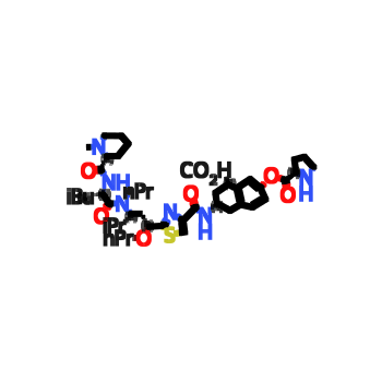 CCCO[C@H](C[C@H](C(C)C)N(CCC)C(=O)[C@@H](NC(=O)[C@H]1CCCCN1C)[C@@H](C)CC)c1nc(C(=O)N[C@H]2Cc3ccc(OC(=O)[C@H]4CCCN4)cc3[C@H](C(=O)O)C2)cs1